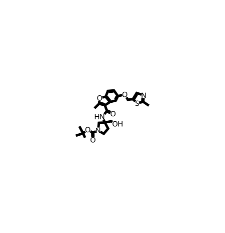 Cc1ncc(COc2ccc3oc(C)c(C(=O)NC4(CO)CCN(C(=O)OC(C)(C)C)C4)c3c2)s1